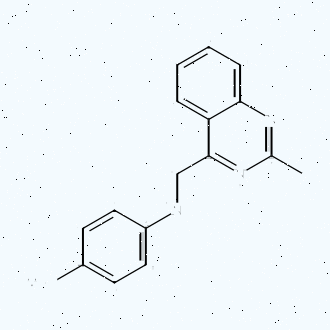 CSc1ccc(NCc2nc(C)nc3ccccc23)cc1